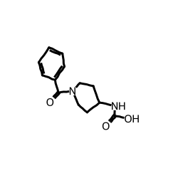 O=C(O)NC1CCN(C(=O)c2ccccc2)CC1